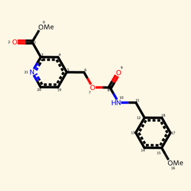 COC(=O)c1cc(COC(=O)NCc2ccc(OC)cc2)ccn1